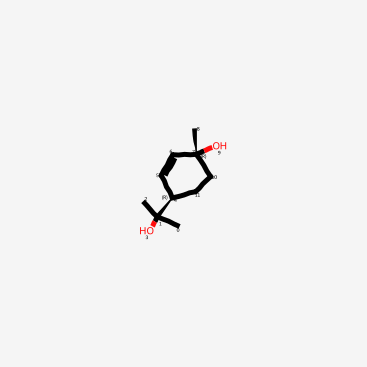 CC(C)(O)[C@H]1C=C[C@](C)(O)CC1